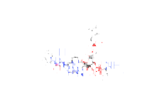 CC(C)(C)[C@H](N)C(=O)O[C@H]1[C@@H](O)[C@](C#N)(c2ccc3c(NC(=O)N4CCCC4)ncnn23)O[C@@H]1COC(=O)CC1CCC1